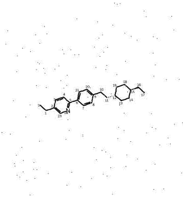 CCc1ccc(-c2ccc(CC[C@H]3CC[C@H](CC)CC3)cc2)nc1